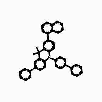 CC1(C)c2cc(-c3ccccc3)ccc2N(c2ccc(-c3ccccc3)cc2)c2ccc(-c3cccc4ccccc34)cc21